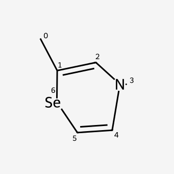 CC1=C[N]C=C[Se]1